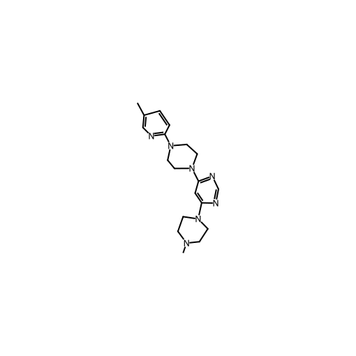 Cc1ccc(N2CCN(c3cc(N4CCN(C)CC4)ncn3)CC2)nc1